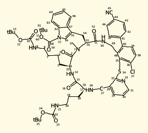 CN1C(=O)[C@H](CCCCNC(=O)OC(C)(C)C)NC(=O)[C@H](CCCNC(=O)OC(C)(C)C)NCc2cccnc2Sc2c(Cl)ccc(-c3ccc(C#N)cc3)c2CNC(=O)[C@@H]1Cc1cn(C(=O)OC(C)(C)C)c2ccccc12